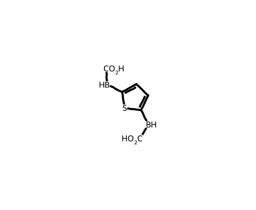 O=C(O)Bc1ccc(BC(=O)O)s1